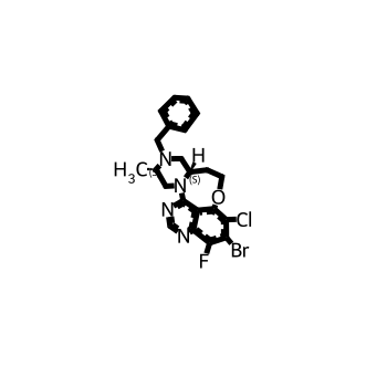 C[C@H]1CN2c3ncnc4c(F)c(Br)c(Cl)c(c34)OCC[C@H]2CN1Cc1ccccc1